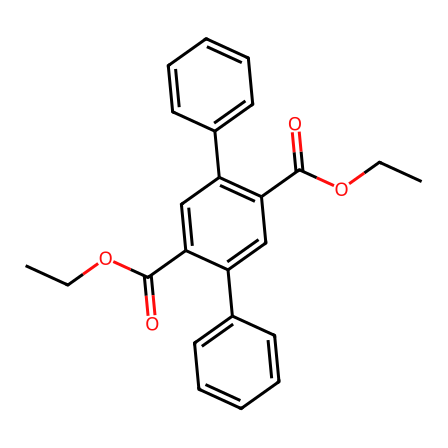 CCOC(=O)c1cc(-c2ccccc2)c(C(=O)OCC)cc1-c1ccccc1